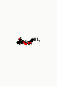 C[C@@H](NC(=O)c1ccc2c(C3CCCCC3)n(-c3ccccn3)nc2c1)C(=O)Nc1ccc(-c2ccc(N)cc2)cc1